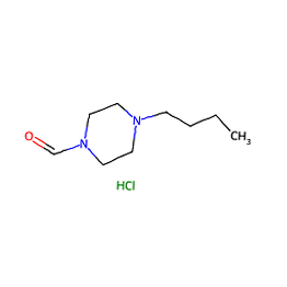 CCCCN1CCN(C=O)CC1.Cl